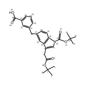 CC(C)(C)OC(=O)Cc1cn(C(=O)OC(C)(C)C)c2ccc(Cc3cncc(C(=O)O)c3)cc12